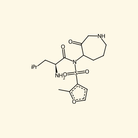 Cc1occc1S(=O)(=O)N(C(=O)[C@@H](N)CC(C)C)C1CCCNCC1=O